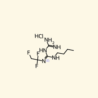 CCCCN/C(=N/C(F)(F)CF)NC(=N)N.Cl